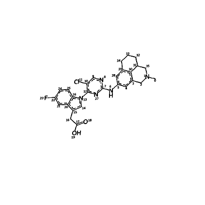 CN1Cc2cc(Nc3ncc(Cl)c(-n4cc(CC(=O)O)c5cc(F)ccc54)n3)cc3c2C(CCC3)C1